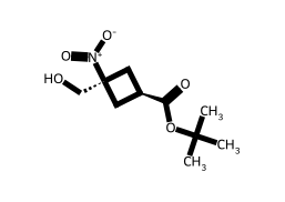 CC(C)(C)OC(=O)[C@H]1C[C@@](CO)([N+](=O)[O-])C1